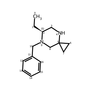 CC[C@H]1CNC2(CC2)CN1Cc1ccccc1